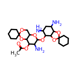 CC(=O)OC1C(N)C(OC2C(N)CC(N)C3OC4(CCCCC4)OC23)OC2COC3(CCCCC3)OC21